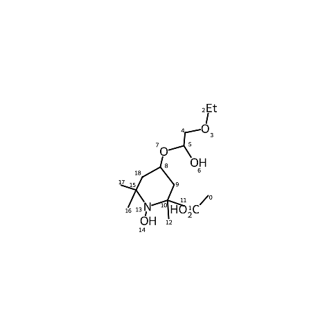 CC(=O)O.CCOCC(O)OC1CC(C)(C)N(O)C(C)(C)C1